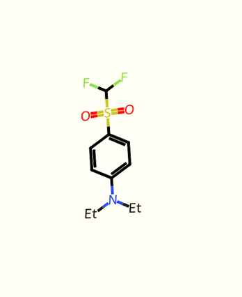 CCN(CC)c1ccc(S(=O)(=O)C(F)F)cc1